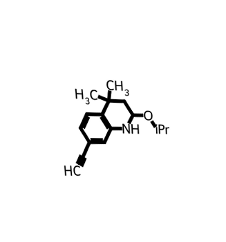 C#Cc1ccc2c(c1)NC(OC(C)C)CC2(C)C